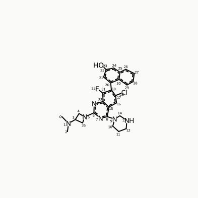 CN(C)C1CN(c2nc(N3CCCNC3)c3cc(Cl)c(-c4cc(O)cc5ccccc45)c(F)c3n2)C1